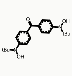 CC(C)(C)N(O)c1ccc(C(=O)c2ccc(N(O)C(C)(C)C)cc2)cc1